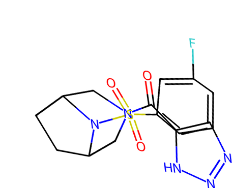 O=C(c1cnn[nH]1)N1CC2CCC(C1)N2S(=O)(=O)c1cccc(F)c1